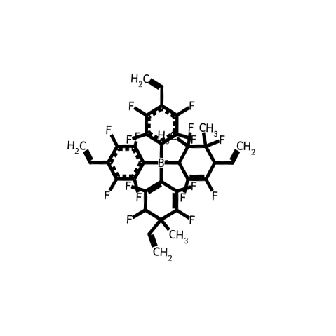 C=Cc1c(F)c(F)c([B-](C2=C(F)C(F)C(C)(C=C)C(F)=C2F)(c2c(F)c(F)c(C=C)c(F)c2F)C2C(F)=C(F)C(C=C)C(C)(F)C2(C)F)c(F)c1F